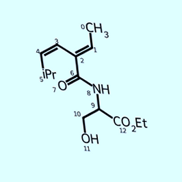 C/C=C(\C=C/C(C)C)C(=O)NC(CO)C(=O)OCC